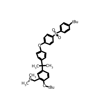 CN(C)Cc1cc(C(C)(C)c2ccc(Oc3ccc(S(=O)(=O)c4ccc(C(C)(C)C)cc4)cc3)cc2)ccc1OC(C)(C)C